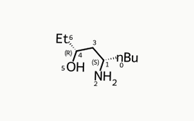 CCCC[C@H](N)C[C@H](O)CC